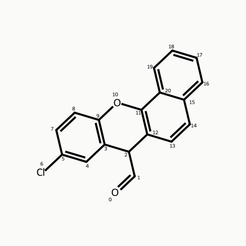 O=CC1c2cc(Cl)ccc2Oc2c1ccc1ccccc21